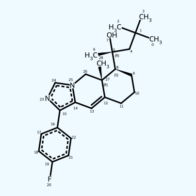 CC(C)(C)C[C@@](C)(O)[C@H]1CCCC2=Cc3c(-c4ccc(F)cc4)ncn3C[C@@]21C